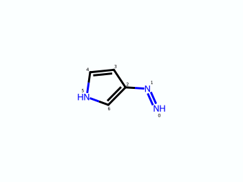 N=Nc1cc[nH]c1